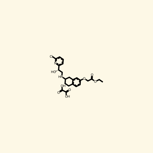 CCOC(=O)COc1ccc2c(c1)CC(NC[C@H](O)c1cccc(Cl)n1)CC2.O=C(O)C(=O)O